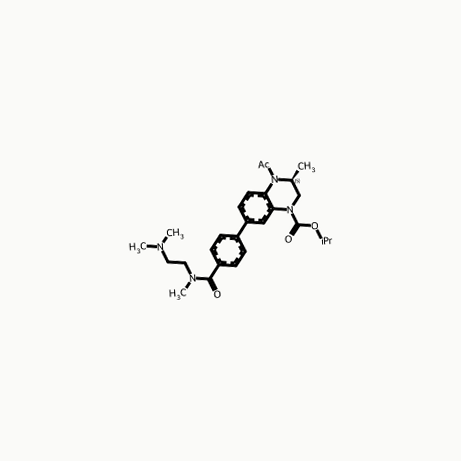 CC(=O)N1c2ccc(-c3ccc(C(=O)N(C)CCN(C)C)cc3)cc2N(C(=O)OC(C)C)C[C@@H]1C